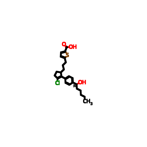 CCCCC[C@H](O)c1ccc(C2=C(Cl)CCC2CCCc2ccc(C(=O)O)s2)cc1